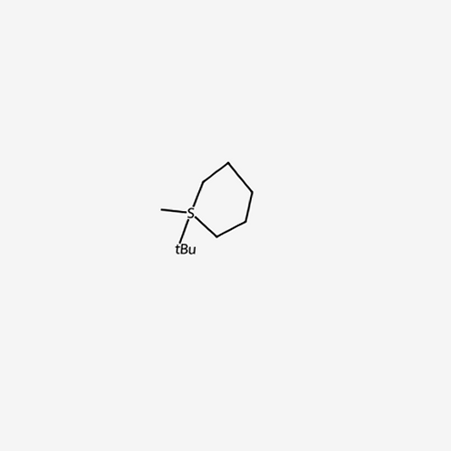 CC(C)(C)S1(C)CCCCC1